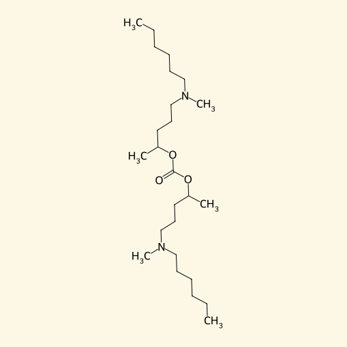 CCCCCCN(C)CCCC(C)OC(=O)OC(C)CCCN(C)CCCCCC